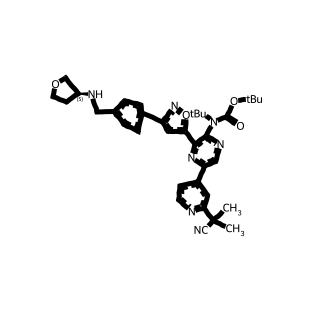 CC(C)(C)OC(=O)N(c1ncc(-c2ccnc(C(C)(C)C#N)c2)nc1-c1cc(-c2ccc(CN[C@H]3CCOC3)cc2)no1)C(C)(C)C